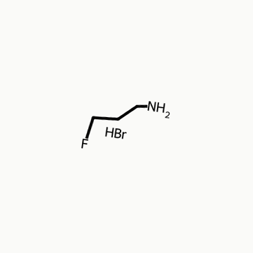 Br.NCCCF